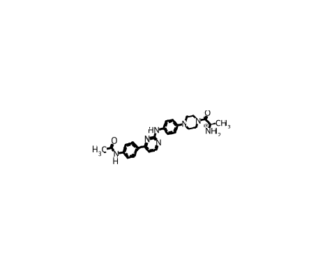 CC(=O)Nc1ccc(-c2ccnc(Nc3ccc(N4CCN(C(=O)[C@@H](C)N)CC4)cc3)n2)cc1